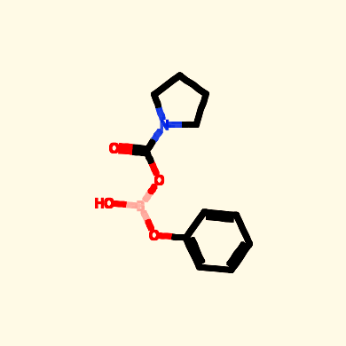 O=C(OB(O)Oc1ccccc1)N1CCCC1